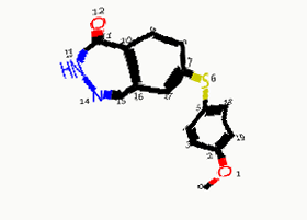 COc1ccc(Sc2ccc3c(=O)[nH]ncc3c2)cc1